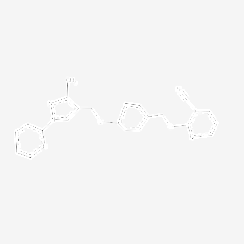 Cc1nn(-c2ccccn2)cc1COc1ccc(COc2ncccc2C#N)cc1